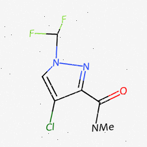 CNC(=O)c1nn(C(F)F)cc1Cl